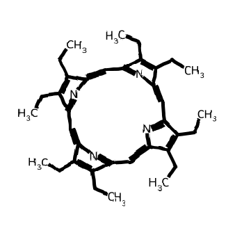 CCC1=C(CC)C2=NC1=CC1=NC(=CC3=NC(=CC4=NC(=C2)C(CC)=C4CC)C(CC)=C3CC)C(CC)=C1CC